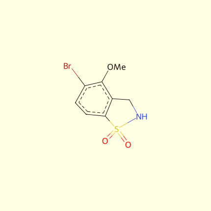 COc1c(Br)ccc2c1CNS2(=O)=O